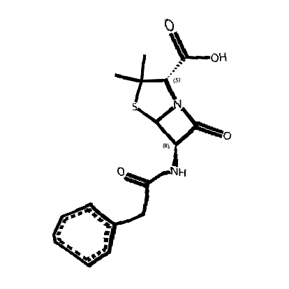 CC1(C)SC2[C@H](NC(=O)Cc3ccccc3)C(=O)N2[C@H]1C(=O)O